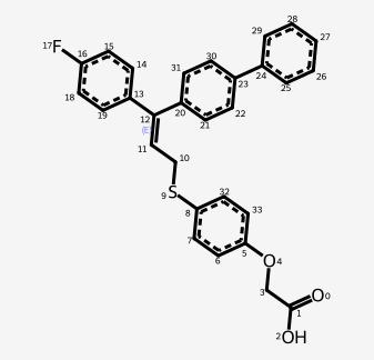 O=C(O)COc1ccc(SC/C=C(/c2ccc(F)cc2)c2ccc(-c3ccccc3)cc2)cc1